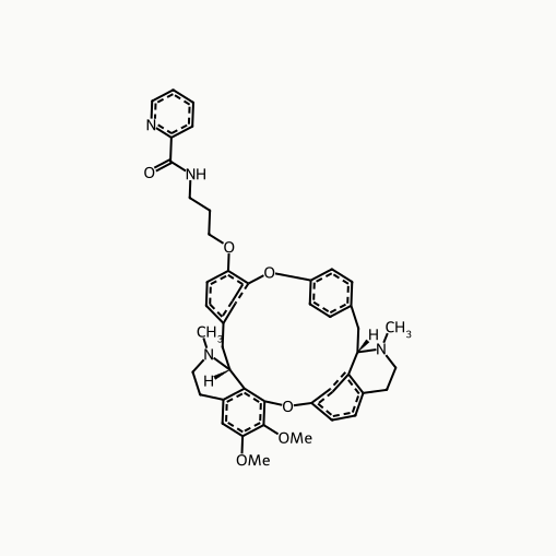 COc1cc2c3c(c1OC)Oc1ccc4c(c1)[C@H](Cc1ccc(cc1)Oc1cc(ccc1OCCCNC(=O)c1ccccn1)C[C@H]3N(C)CC2)N(C)CC4